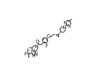 Cc1cnc(N2CCC([C@H]3C[C@H]3CCOc3ccc(CC(=O)N4Cc5nnc(C(F)(F)F)n5C(C)C4)c(F)c3)CC2)nc1